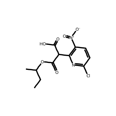 CCC(C)OC(=O)C(C(=O)O)c1nc(Cl)ccc1[N+](=O)[O-]